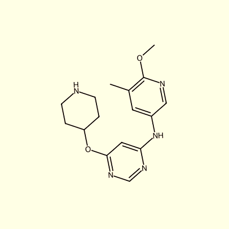 COc1ncc(Nc2cc(OC3CCNCC3)ncn2)cc1C